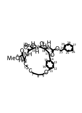 COC(=O)[C@@H]1CSCCCCOc2ccc(cc2)C[C@H](NC(=O)OCc2ccccc2)C(=O)N[C@@H](C(C)C)C(=O)N1